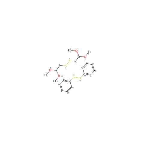 CCOC(CSSCC(OCC)OCC)OCC.c1ccc(SSc2ccccc2)cc1